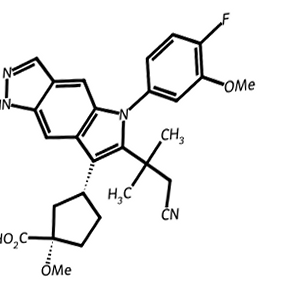 COc1cc(-n2c(C(C)(C)CC#N)c([C@@H]3CC[C@@](OC)(C(=O)O)C3)c3cc4[nH]ncc4cc32)ccc1F